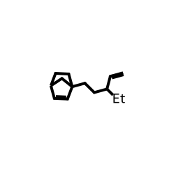 C=CC(CC)CCC12C=CC(CC1)C2